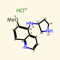 COc1ccc2ncccc2c1NC1CCNC1.Cl